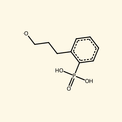 [O]CCCc1ccccc1P(=O)(O)O